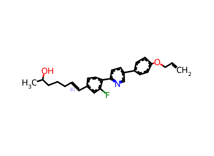 C=CCOc1ccc(-c2ccc(-c3ccc(/C=C/CCCC(C)O)cc3F)nc2)cc1